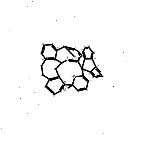 C\C1=C/C=C\C2=N\C3Cc4c(cccc4C4(C)C=CC=C(N4)C24c2ccccc2-c2ccccc24)CCc2cccc1c23